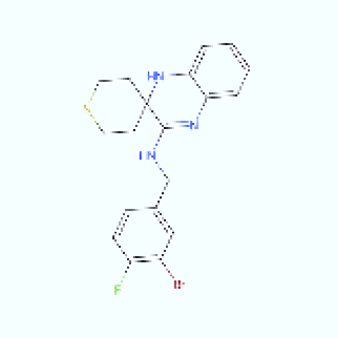 Fc1ccc(CNC2=Nc3ccccc3NC23CCSCC3)cc1Br